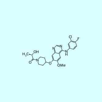 COc1cc2c(Nc3ccc(F)c(Cl)c3)ncnc2cc1OC1CCN(C(=O)[C@@H](C)O)CC1